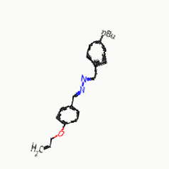 C=CCOc1ccc(/C=N/N=C/c2ccc(CCCC)cc2)cc1